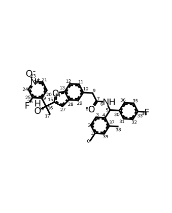 Cc1ccc(C(NC(=O)Cc2ccc3oc(C(C)(O)c4cc[n+]([O-])cc4F)cc3c2)c2ccc(F)cc2)c(C)c1